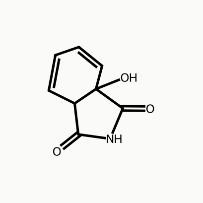 O=C1NC(=O)C2(O)C=CC=CC12